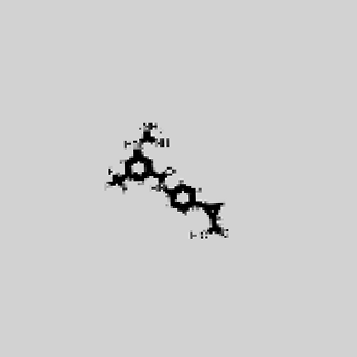 N=C(N)Nc1cc(C(=O)Nc2ccc(C3CC3C(=O)O)cc2)cc(C(F)(F)F)c1